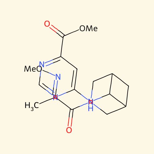 CON=C(C)C(=O)N1CC2CC(C1)C2Nc1cc(C(=O)OC)ncn1